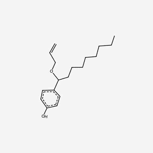 C=CCOC(CCCCCCCC)c1ccc(O)cc1